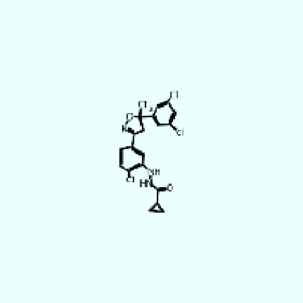 O=C(NNc1cc(C2=NOC(c3cc(Cl)cc(Cl)c3)(C(F)(F)F)C2)ccc1Cl)C1CC1